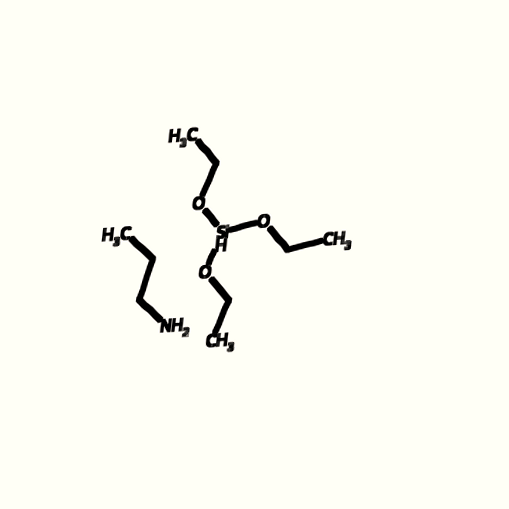 CCCN.CCO[SiH](OCC)OCC